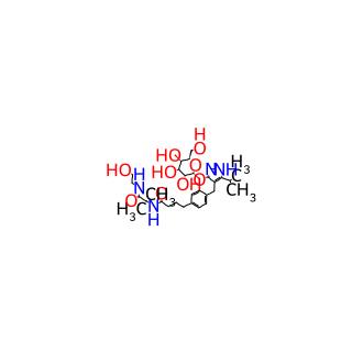 CC(C)c1[nH]nc(O[C@@H]2O[C@H](CO)[C@H](O)[C@H](O)[C@H]2O)c1Cc1ccc(CCCC(=O)NC(C)(C)C(=O)NCCO)cc1